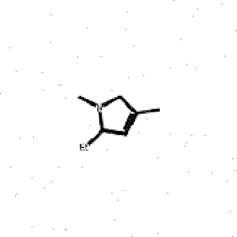 CCC1C=C(C)CN1C